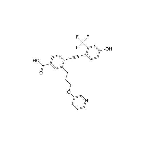 O=C(O)c1ccc(C#Cc2ccc(O)cc2C(F)(F)F)c(CCCOc2cccnc2)c1